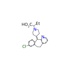 CCC(C(=O)O)N1CCC(=C2c3ccc(Cl)cc3CCc3cccnc32)CC1